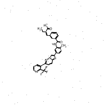 CCC(=Cc1cccc(C(=O)Nc2cc(-c3cn4nc(-c5cccnc5C(F)(F)F)ccc4n3)ccc2C)c1)C(=O)O